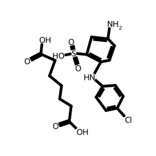 Nc1ccc(Nc2ccc(Cl)cc2)c(S(=O)(=O)O)c1.O=C(O)CCCCCC(=O)O